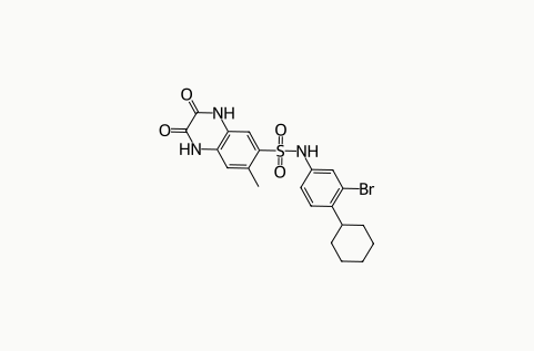 Cc1cc2[nH]c(=O)c(=O)[nH]c2cc1S(=O)(=O)Nc1ccc(C2CCCCC2)c(Br)c1